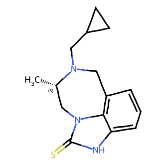 C[C@H]1Cn2c(=S)[nH]c3cccc(c32)CN1CC1CC1